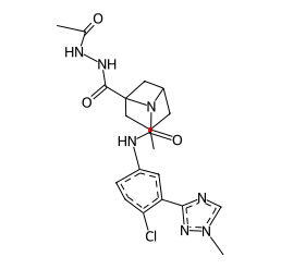 CC(=O)NNC(=O)C12CC(C)CC(C1)N2C(=O)Nc1ccc(Cl)c(-c2ncn(C)n2)c1